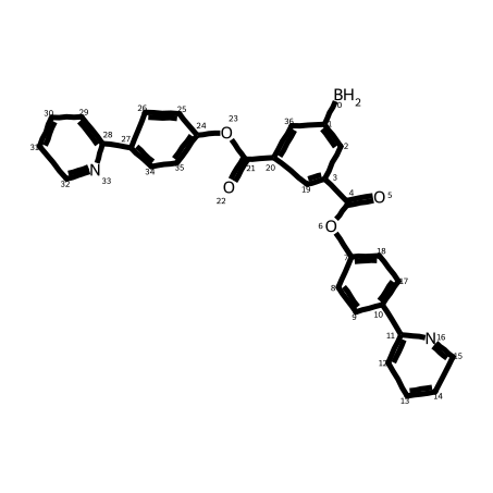 Bc1cc(C(=O)Oc2ccc(-c3ccccn3)cc2)cc(C(=O)Oc2ccc(-c3ccccn3)cc2)c1